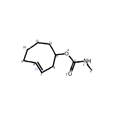 CNC(=O)OC1C/C=C/CCCC1